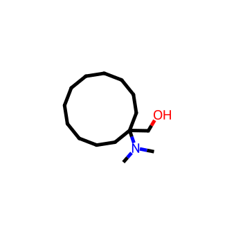 CN(C)C1(CO)CCCCCCCCCCC1